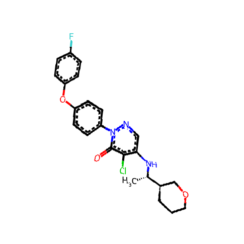 C[C@H](Nc1cnn(-c2ccc(Oc3ccc(F)cc3)cc2)c(=O)c1Cl)[C@@H]1CCCOC1